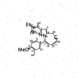 C=C(c1cc2n(n1)/C(c1ccc(OC)c(C)c1)=C\C=C/CC2)N(CC)CCC